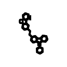 c1ccc(-n2c3ccccc3c3cc(CCc4ccc5oc6cccnc6c5c4)ccc32)cc1